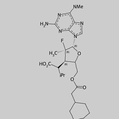 CNc1nc(N)nc2c1ncn2[C@@H]1OC(COC(=O)CC2CCCCC2)[C@@H](C(C(=O)O)C(C)C)[C@@]1(C)F